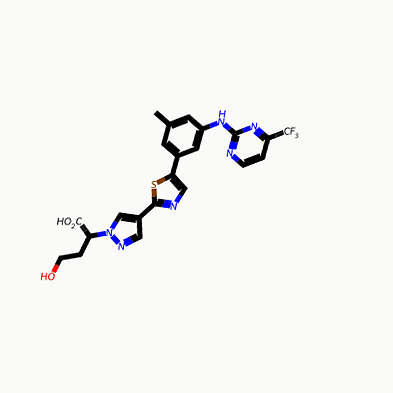 Cc1cc(Nc2nccc(C(F)(F)F)n2)cc(-c2cnc(-c3cnn(C(CCO)C(=O)O)c3)s2)c1